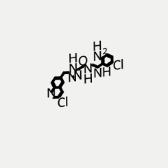 N=C(CNC(=O)c1nnc(Cc2ccc3ncc(Cl)cc3c2)[nH]1)c1cc(Cl)ccc1N